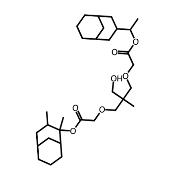 CC(OC(=O)COCC(C)(CO)COCC(=O)OC1(C)C(C)CC2CCCC1C2)C1CC2CCCC(C2)C1